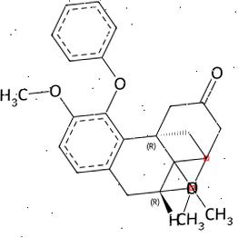 COc1ccc2c(c1Oc1ccccc1)[C@]13CCN(C)[C@H](C2)C1(OC)CCC(=O)C3